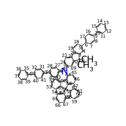 CC1(C)c2cc(-c3ccc(-c4ccccc4)cc3)ccc2-c2ccc(N(c3ccc(-c4ccc(-c5ccccc5)cc4)cc3)c3cccc4c3-c3ccccc3C4(c3ccccc3)c3ccccc3)cc21